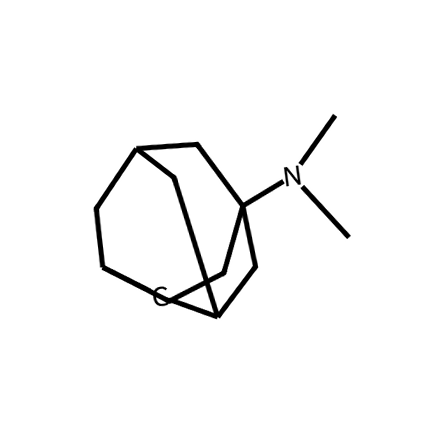 CN(C)C12CCC3CC(CC(C3)C1)C2